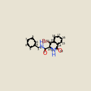 O=C(NCc1ccccc1)c1[nH]c(=O)c2ccccc2c1Br